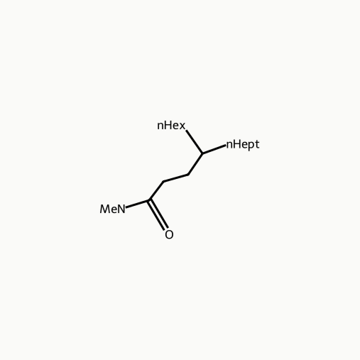 CCCCCCCC(CCCCCC)CCC(=O)NC